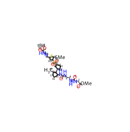 COC(=O)CNC(=O)NCCNC(=O)Nc1cccc(C)c1-c1cccc(S(=O)(=O)c2cc(C=NNC(=O)OC(C)(C)C)sc2SC)c1